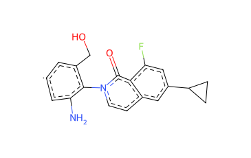 Nc1c[c]cc(CO)c1-n1ccc2cc(C3CC3)cc(F)c2c1=O